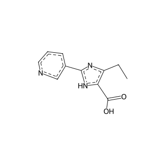 CCc1nc(-c2cccnc2)[nH]c1C(=O)O